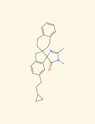 CC1=NC2(C(=O)N1C)c1cc(CCC3CC3)ccc1CC21CCc2ccccc2CC1